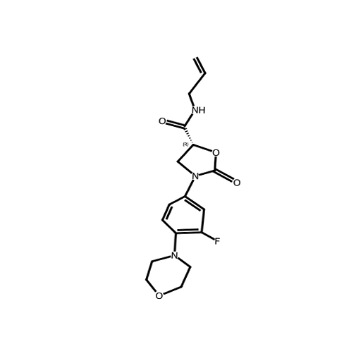 C=CCNC(=O)[C@H]1CN(c2ccc(N3CCOCC3)c(F)c2)C(=O)O1